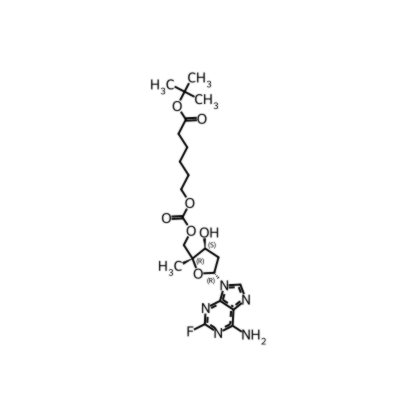 CC(C)(C)OC(=O)CCCCCOC(=O)OC[C@@]1(C)O[C@@H](n2cnc3c(N)nc(F)nc32)C[C@@H]1O